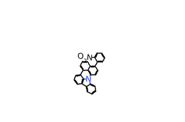 O=[N+]([O-])c1ccccc1-c1ccc2c3c1cccc3c1cccc3c4ccccc4n2c13